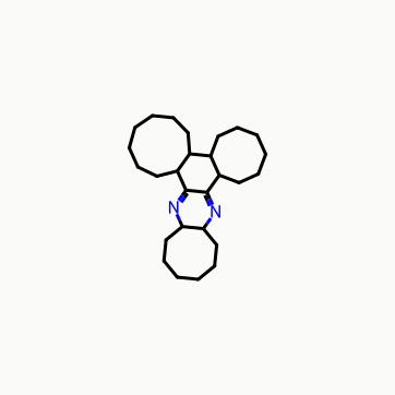 C1CCCC2C3=NC4CCCCCCC4N=C3C3CCCCCCC3C2CCC1